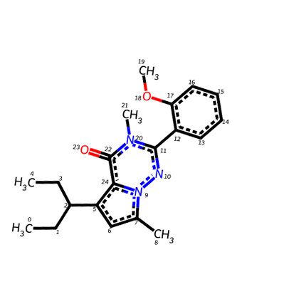 CCC(CC)c1cc(C)n2nc(-c3ccccc3OC)n(C)c(=O)c12